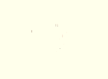 COC1=CC(C(=O)N2CCCC2)[C@@H]2C(=O)N(c3ccccc3)C(=O)[C@H]2C1